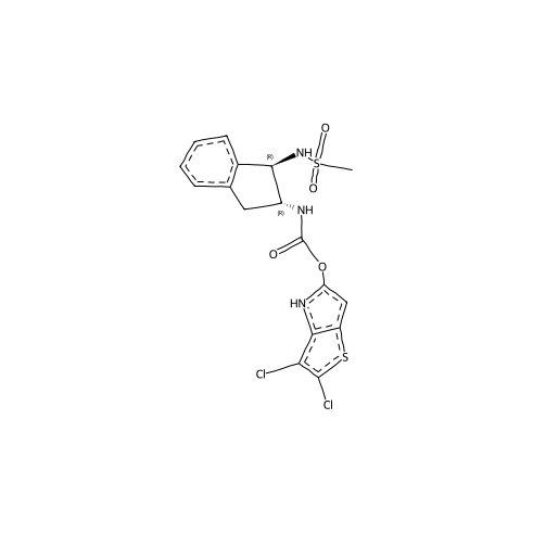 CS(=O)(=O)N[C@@H]1c2ccccc2C[C@H]1NC(=O)Oc1cc2sc(Cl)c(Cl)c2[nH]1